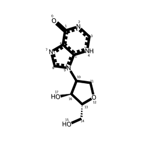 O=c1nc[nH]c2c1ncn2C1CO[C@H](CO)[C@H]1O